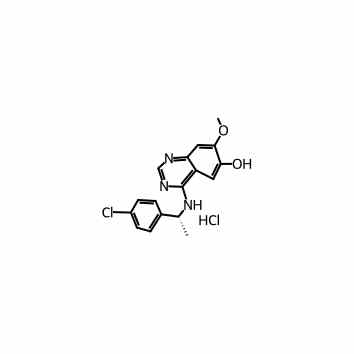 COc1cc2ncnc(N[C@H](C)c3ccc(Cl)cc3)c2cc1O.Cl